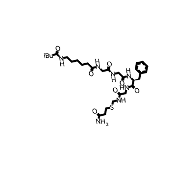 CCC(C)C(=O)NCCCCCC(=O)NCC(=O)NCC(=O)N[C@@H](Cc1ccccc1)C(=O)NCC(=O)NCSCCC(N)=O